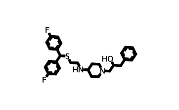 OC(Cc1ccccc1)CN1CCC(NCCSC(c2ccc(F)cc2)c2ccc(F)cc2)CC1